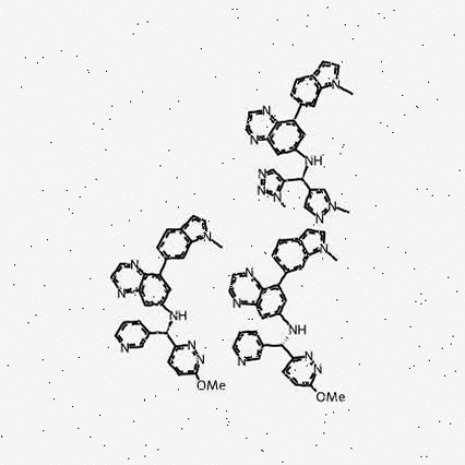 COc1ccc([C@@H](Nc2cc(-c3ccc4ccn(C)c4c3)c3nccnc3c2)c2cccnc2)nn1.COc1ccc([C@H](Nc2cc(-c3ccc4ccn(C)c4c3)c3nccnc3c2)c2cccnc2)nn1.Cn1cc([C@H](Nc2cc(-c3ccc4ccn(C)c4c3)c3nccnc3c2)c2cnnn2C)cn1